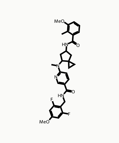 COc1cc(F)c(CNC(=O)c2ccc(N(C)C3CC(NC(=O)c4cccc(OC)c4C)CC34CC4)nc2)c(F)c1